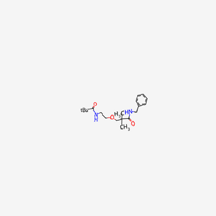 CC(C)(C)C(=O)NCCOCC(C)(C)C(=O)NCc1ccccc1